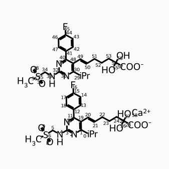 CC(C)c1nc(NCS(C)(=O)=O)nc(-c2ccc(F)cc2)c1C=CCCCC(O)(O)C(=O)[O-].CC(C)c1nc(NCS(C)(=O)=O)nc(-c2ccc(F)cc2)c1C=CCCCC(O)(O)C(=O)[O-].[Ca+2]